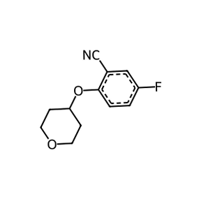 N#Cc1cc(F)ccc1OC1CCOCC1